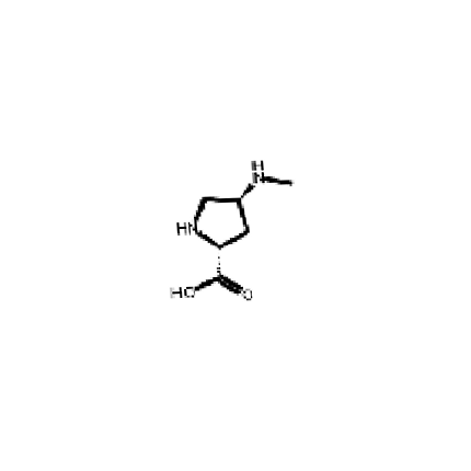 CN[C@@H]1CN[C@@H](C(=O)O)C1